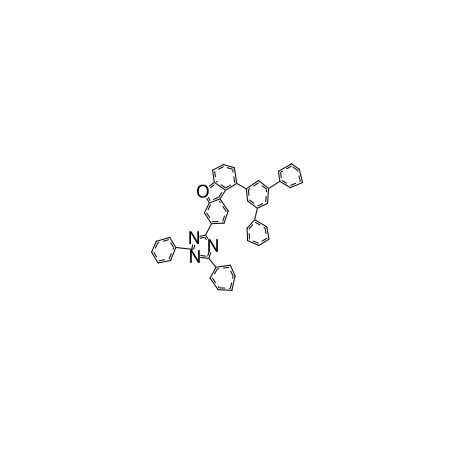 c1ccc(-c2cc(-c3ccccc3)cc(-c3cccc4oc5cc(-c6nc(-c7ccccc7)nc(-c7ccccc7)n6)ccc5c34)c2)cc1